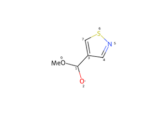 COC([O])c1cnsc1